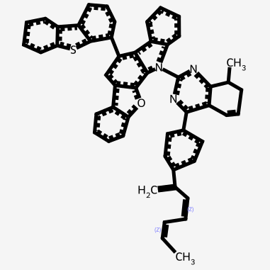 C=C(/C=C\C=C/C)c1ccc(-c2nc(-n3c4ccccc4c4c(-c5cccc6c5sc5ccccc56)cc5c6ccccc6oc5c43)nc3c2C=CCC3C)cc1